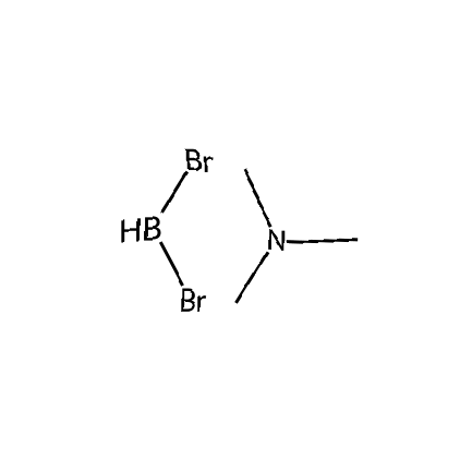 BrBBr.CN(C)C